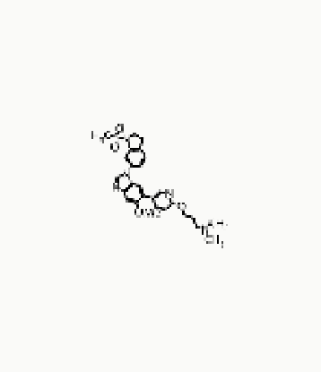 COc1cc2ncn(-c3ccc4c(c3)N(S(C)(=O)=O)CC4)c2cc1-c1ccc(OCCCN(C)C)nc1